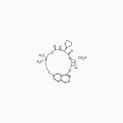 CC1(C)CCCc2ccc3ccnc(c3c2)O[C@@H]2C[C@@H](C(=O)O)N(C(=O)[C@H](C3CCCC3)NC(=O)OC1)C2I